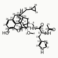 CO[C@]12C3C[C@@]4(C[C@]31CNC(=O)[C@H](Cc1c[nH]cn1)NC(C)=O)[C@H]1Cc3ccc(O)c5c3[C@@]4(CCN1CC1CC1)[C@H]2O5